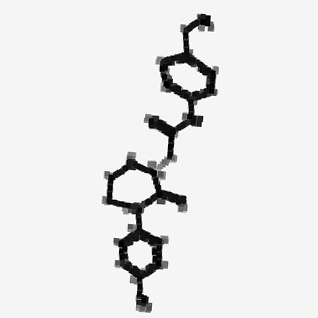 NCc1ccc(NC(=O)C[C@H]2OCCN(c3ccc(C(F)(F)F)cc3)C2=O)cc1